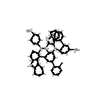 Cc1ccccc1-c1cc2c3c(c1)N(c1ccc(C(C)(C)C)cc1-c1ccccc1)c1c(oc4ccccc14)B3N(c1ccc(C(C)(C)C)cc1)c1ccc3sc4ccccc4c3c1-2